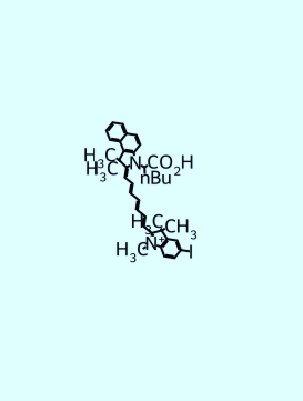 CCCCC(C(=O)O)N1\C(=C/C=C/C=C/C=C/C2=[N+](C)c3ccc(I)cc3C2(C)C)C(C)(C)c2c1ccc1ccccc21